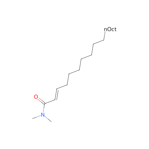 CCCCCCCCCCCCCCCC=CC(=O)N(C)C